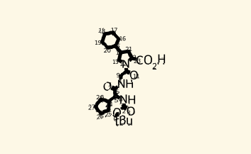 CC(C)(C)OC(=O)NC(C(=O)NCC(=O)N1CC(C2CCCCC2)CC1C(=O)O)C1CCCC1